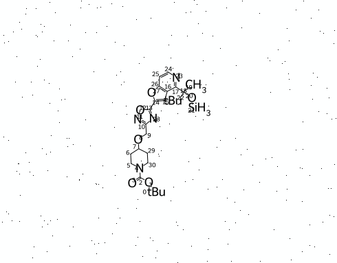 CC(C)(C)OC(=O)N1CCC(OCc2noc(-c3cc4c(C(C)(O[SiH3])C(C)(C)C)nccc4o3)n2)CC1